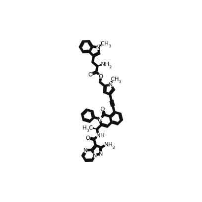 C[C@H](NC(=O)c1c(N)nn2cccnc12)c1cc2cccc(C#Cc3cc(COC(=O)[C@H](N)Cc4cn(C)c5ccccc45)n(C)c3)c2c(=O)n1-c1ccccc1